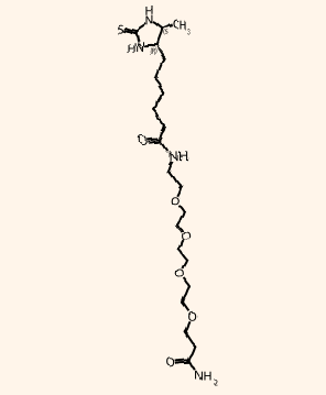 C[C@@H]1NC(=S)N[C@@H]1CCCCCC(=O)NCCOCCOCCOCCOCCC(N)=O